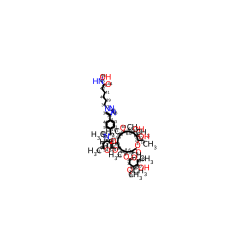 CCC1OC(=O)[C@H](C)[C@H](OC2C[C@@](C)(OC)[C@@H](O)[C@H](C)O2)[C@H](C)[C@@H](OC2C[C@@H](N(C)Cc3ccc(-c4cn(CCCCCC(=O)NO)nn4)cc3)C[C@@H](C)O2)[C@@](C)(OC)C[C@@H](C)C(=O)[C@H](C)[C@@H](O)[C@]1(C)O